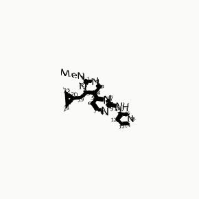 CNc1ncc(-c2ccnc(Nc3cccnc3)n2)c(CC2CC2)n1